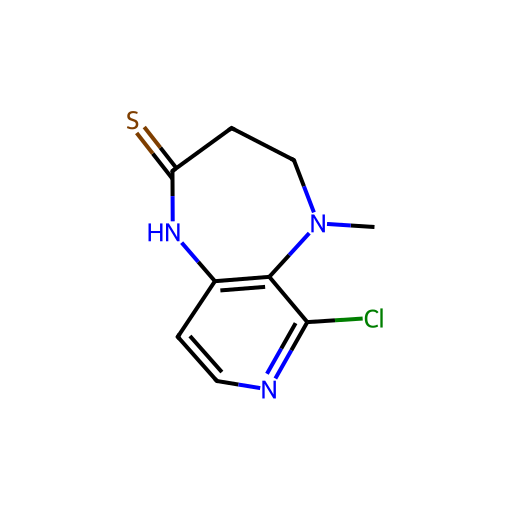 CN1CCC(=S)Nc2ccnc(Cl)c21